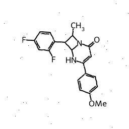 COc1ccc(C2=CC(=O)N3C(C)C(c4ccc(F)cc4F)C3N2)cc1